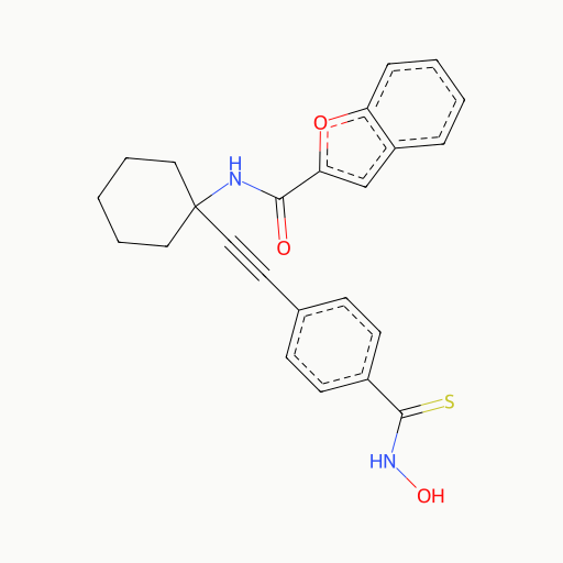 O=C(NC1(C#Cc2ccc(C(=S)NO)cc2)CCCCC1)c1cc2ccccc2o1